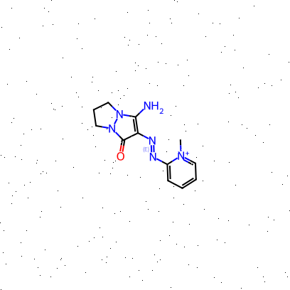 C[n+]1ccccc1/N=N/c1c(N)n2n(c1=O)CCC2